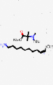 CCCCCCCC/C=C\CCCCCCCCN.CCCCN(C)C(C)(C)C(=O)OC